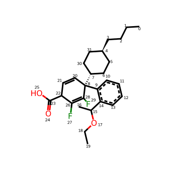 CCCC[C@H]1CC[C@H](C2(c3ccccc3C(C)OCC)C=CC(C(=O)O)C(F)=C2F)CC1